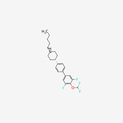 CCCCC[Si@H]1CC[C@H](c2ccc(-c3cc(F)c(OC(F)F)c(F)c3)cc2)CC1